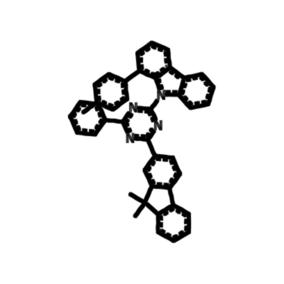 Cc1ccc(-c2cccc3c4ccccc4n(-c4nc(-c5ccccc5)nc(-c5ccc6c(c5)C(C)(C)c5ccccc5-6)n4)c23)cc1